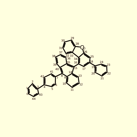 c1ccc(-c2ccc(-c3c4ccccc4c(-c4cc(-c5ccccc5)cc5oc6ccccc6c45)c4ccccc34)cc2)cc1